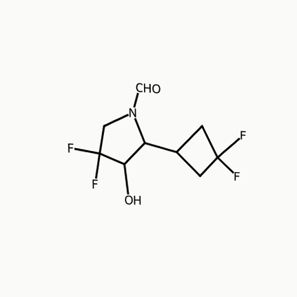 O=CN1CC(F)(F)C(O)C1C1CC(F)(F)C1